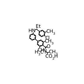 CC[C@@H](Nc1cccc(-c2cc(C)c(C(=O)N(C)C(C)C(=O)O)c(C)c2)c1)c1ccc(Cl)c(C)c1